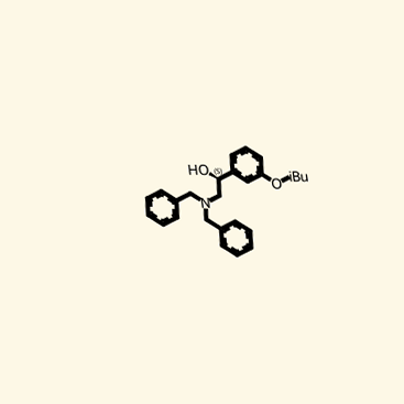 CCC(C)Oc1cccc([C@H](O)CN(Cc2ccccc2)Cc2ccccc2)c1